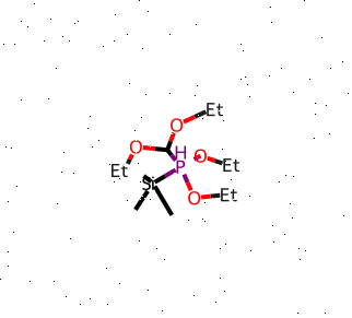 CCOC(OCC)[PH](OCC)(OCC)[Si](C)(C)C